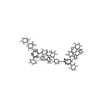 c1ccc(-c2ccc(-c3nc(-c4ccccc4)nc(-c4ccc5c(c4)C4(c6cc(-c7cccc(-c8nc(-c9ccccc9)nc(-c9ccc%10c(c9)C9(c%11ccccc%11O%10)c%10ccccc%10-c%10ccccc%109)n8)c7)ccc6O5)c5ccccc5-c5ccccc54)n3)cc2)cc1